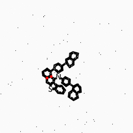 c1ccc(-c2ccc(-c3ccc4ccccc4c3)cc2N(c2ccc(-c3cccc4ccccc34)cc2)c2cccc3sc4ccccc4c23)cc1